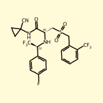 N#CC1(NC(=O)[C@H](CS(=O)(=O)Cc2ccccc2C(F)(F)F)N[C@@H](c2ccc(F)cc2)C(F)(F)F)CC1